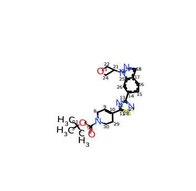 CC(C)(C)OC(=O)N1CC=C(c2nc(-c3ccc4cnn(C5COC5)c4c3)ns2)CC1